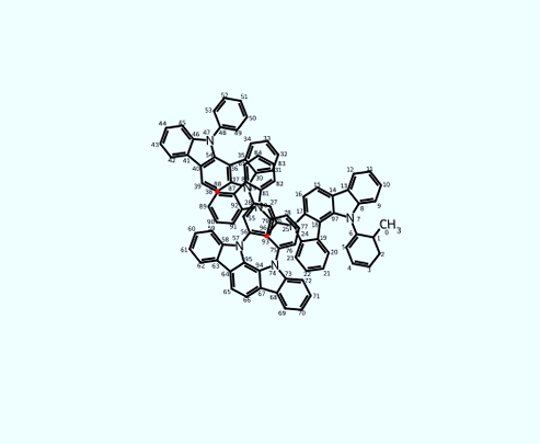 CC1CC=CC=C1n1c2ccccc2c2ccc3c(c4ccccc4n3-c3cc(-n4c5ccccc5c5c4ccc4c6ccccc6n(-c6ccccc6)c45)cc(-n4c5ccccc5c5ccc6c7ccccc7n(-c7cccc(-n8c9ccccc9c9ccccc98)c7)c6c54)c3)c21